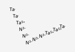 [N-3].[N-3].[N-3].[N-3].[N-3].[Ta+5].[Ta+5].[Ta+5].[Ta].[Ta].[Ta]